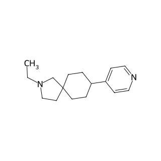 CCN1CCC2(CCC(c3ccncc3)CC2)C1